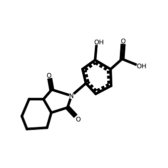 O=C(O)c1ccc(N2C(=O)C3CCCCC3C2=O)cc1O